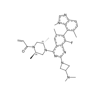 C=CC(=O)N1C[C@H](C)N(c2nc(N3CC(N(C)C)C3)nc3c(F)c(-c4c(C)ccc5ncn(C)c45)c(C)cc23)C[C@H]1C